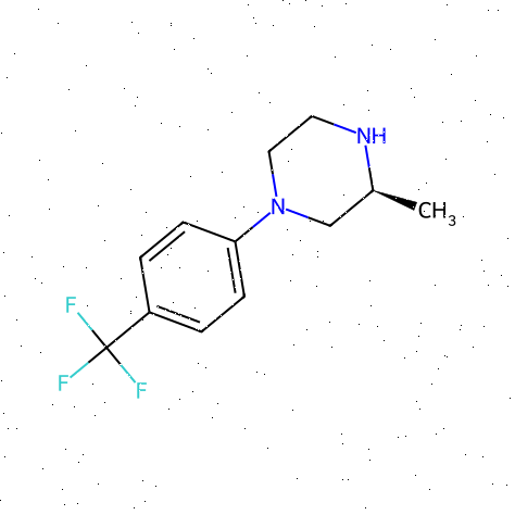 C[C@H]1CN(c2ccc(C(F)(F)F)cc2)CCN1